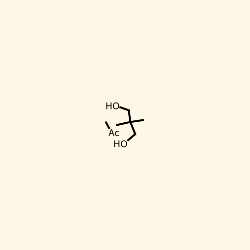 CC(C)(CO)CO.CC(C)=O